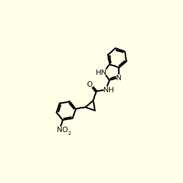 O=C(Nc1nc2ccccc2[nH]1)C1CC1c1cccc([N+](=O)[O-])c1